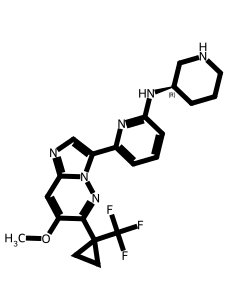 COc1cc2ncc(-c3cccc(N[C@@H]4CCCNC4)n3)n2nc1C1(C(F)(F)F)CC1